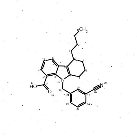 CCCCC1CCCc2c1c1cccc(C(=O)O)c1n2Cc1cccc(C#N)c1